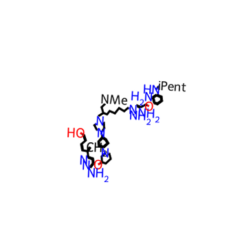 C=C(/C=C\C=C/O)c1cc(OC2CCCN(c3ccc(N4CCN(CC(CCCCCCN(N)/C=C(\N)COc5cccc(NC(C)CCC)c5N)CCNC)CC4)cc3)C2)c(N)nn1